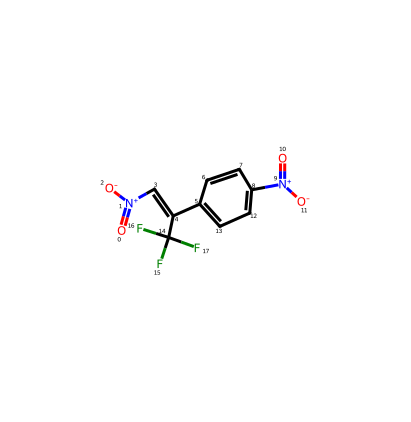 O=[N+]([O-])C=C(c1ccc([N+](=O)[O-])cc1)C(F)(F)F